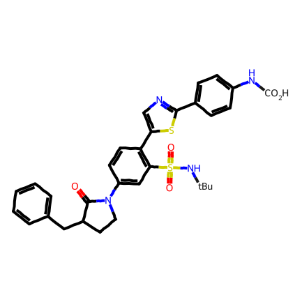 CC(C)(C)NS(=O)(=O)c1cc(N2CCC(Cc3ccccc3)C2=O)ccc1-c1cnc(-c2ccc(NC(=O)O)cc2)s1